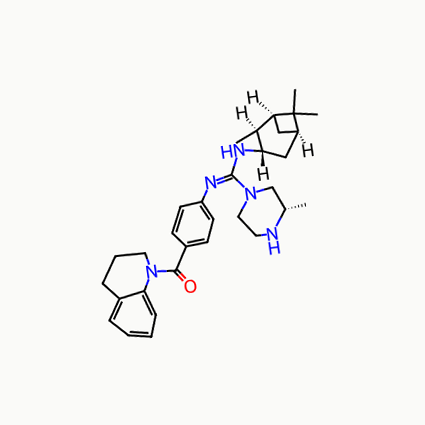 C[C@@H]1[C@@H](NC(=Nc2ccc(C(=O)N3CCCc4ccccc43)cc2)N2CCN[C@@H](C)C2)C[C@H]2C[C@@H]1C2(C)C